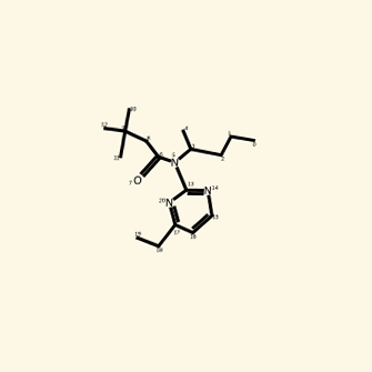 CCCC(C)N(C(=O)CC(C)(C)C)c1nccc(CC)n1